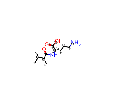 CC(C)[C@H](C)C(=O)N[C@@H](CCCN)C(=O)O